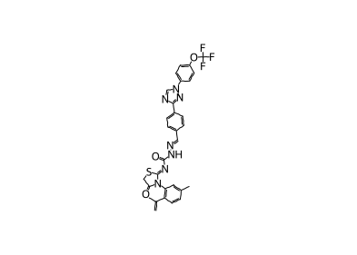 C=C(C)c1ccc(C)cc1N1C(=O)CS/C1=N\C(=O)N/N=C/c1ccc(-c2ncn(-c3ccc(OC(F)(F)F)cc3)n2)cc1